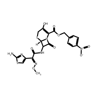 CON=C(C(=O)NC1C(=O)N2C(C(=O)OCc3ccc([N+](=O)[O-])cc3)=C(O)CS[C@@H]12)c1csc(N)n1